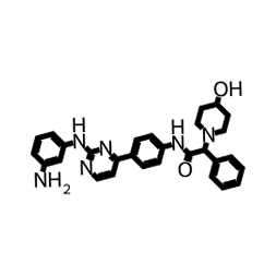 Nc1cccc(Nc2nccc(-c3ccc(NC(=O)C(c4ccccc4)N4CCC(O)CC4)cc3)n2)c1